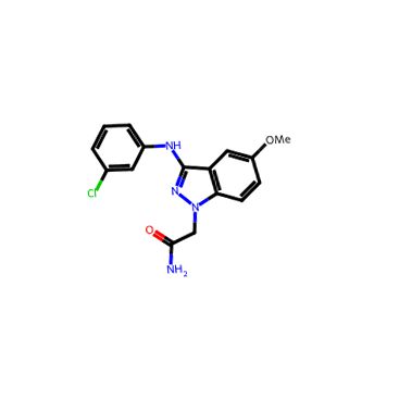 COc1ccc2c(c1)c(Nc1cccc(Cl)c1)nn2CC(N)=O